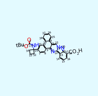 CC(C)(C)OC(=O)NC1(c2ccc(-c3nc4c5cccc(C(=O)O)c5nn4cc3-c3ccccc3)cc2)CCC1